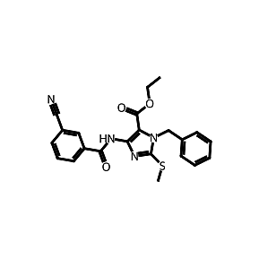 CCOC(=O)c1c(NC(=O)c2cccc(C#N)c2)nc(SC)n1Cc1ccccc1